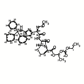 CCOC(=O)OC(C)OC(=O)C1=CCS[C@@H]2C(NC(=O)/C(=N\OC)c3csc(NC(c4ccccc4)(c4ccccc4)c4ccccc4)n3)C(=O)N12